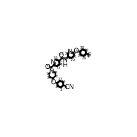 N#Cc1ccc(OC2CCN(C(=O)c3ccc(C(=O)Nc4ccc(Oc5ccc(F)cc5)nc4)cn3)CC2)cc1